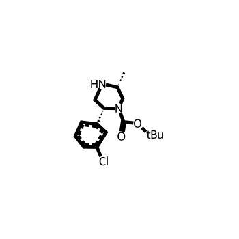 C[C@@H]1CN(C(=O)OC(C)(C)C)[C@H](c2cccc(Cl)c2)CN1